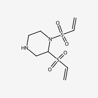 C=CS(=O)(=O)C1CNCCN1S(=O)(=O)C=C